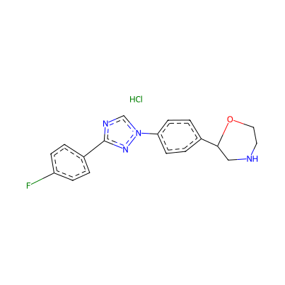 Cl.Fc1ccc(-c2ncn(-c3ccc(C4CNCCO4)cc3)n2)cc1